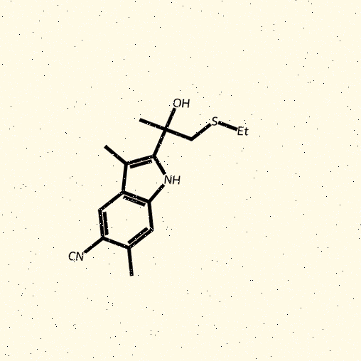 [C-]#[N+]c1cc2c(C)c(C(C)(O)CSCC)[nH]c2cc1C